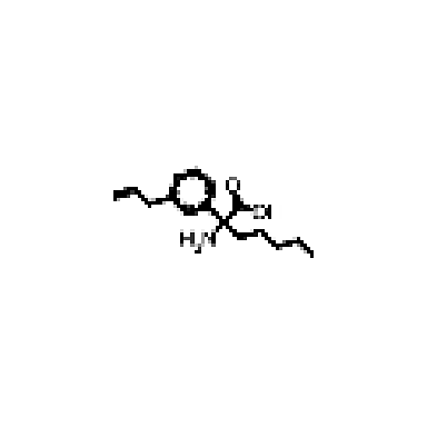 C=CCc1cccc(C(N)(CCCCC)C(=O)O)c1